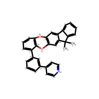 CC1(C)c2ccccc2-c2cc3c(cc21)Oc1c(cccc1-c1cccc(-c2ccncc2)c1)O3